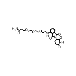 NC(=O)CCOCCOCCOCCNc1cccc2c1C(=O)N(C1CCC(=O)NC1=O)C2=O